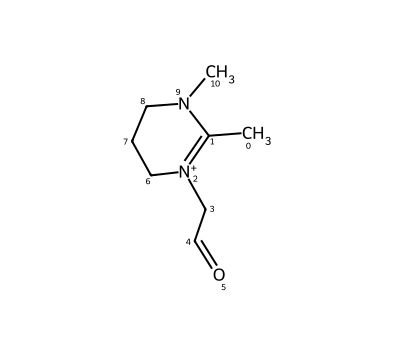 CC1=[N+](CC=O)CCCN1C